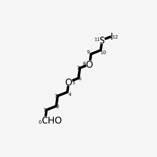 O=CCCCCOCCOCCSI